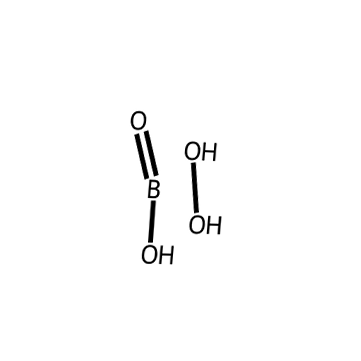 O=BO.OO